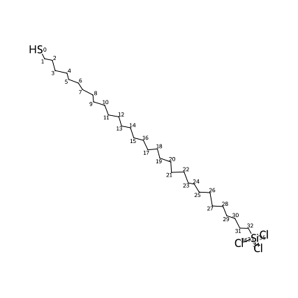 SCCCCCCCCCCCCCCCCCCCCCCCCCCCCCCCC[Si](Cl)(Cl)Cl